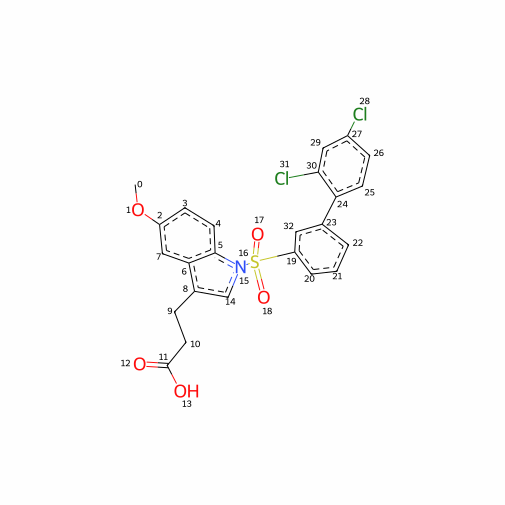 COc1ccc2c(c1)c(CCC(=O)O)cn2S(=O)(=O)c1cccc(-c2ccc(Cl)cc2Cl)c1